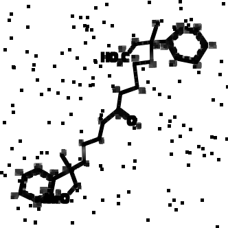 COCC(C)(CCCCC(=O)CCCCC(C)(CC(=O)O)c1ccccc1)c1ccccc1